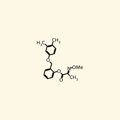 CON=C(C)C(=O)Oc1ccccc1COc1ccc(C)c(C)c1